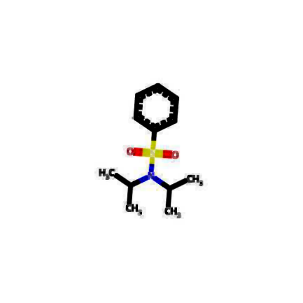 CC(C)N(C(C)C)S(=O)(=O)c1[c]cccc1